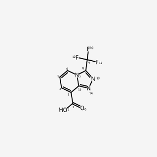 O=C(O)c1cccn2c(C(F)(F)F)nnc12